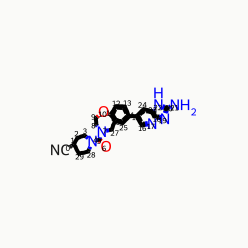 N#CC1CCN(C(=O)N2CCOc3ccc(-c4cnc5nc(N)[nH]c5c4)cc3C2)CC1